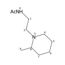 CC(=O)NCCN1CCCCC1C